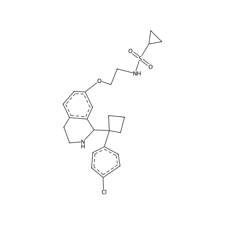 O=S(=O)(NCCOc1ccc2c(c1)C(C1(c3ccc(Cl)cc3)CCC1)NCC2)C1CC1